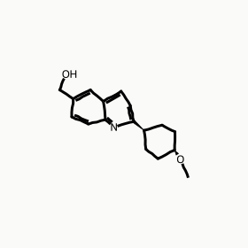 CO[C@H]1CC[C@@H](c2ccc3cc(CO)ccc3n2)CC1